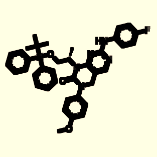 COc1ccc(N2Cc3cnc(Nc4ccc(F)cc4)nc3N([C@@H](C)CO[Si](c3ccccc3)(c3ccccc3)C(C)(C)C)C2=O)cc1